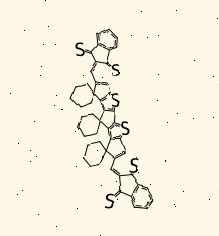 S=C1C(=CC2=Cc3sc4c(c3C23CCCCC3)C2(CCCCC2)c2c-4sc3c2C2(CCCCC2)C(C=C2C(=S)c4ccccc4C2=S)=C3)C(=S)c2ccccc21